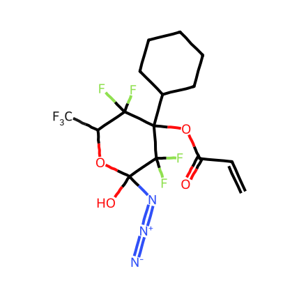 C=CC(=O)OC1(C2CCCCC2)C(F)(F)C(C(F)(F)F)OC(O)(N=[N+]=[N-])C1(F)F